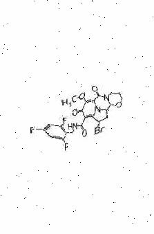 COc1c2n3c(c(C(=O)NCc4c(F)cc(F)cc4F)c1=O)C(Br)CC3C1OCCCN1C2=O